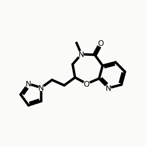 CN1CC(CCn2cccn2)Oc2ncccc2C1=O